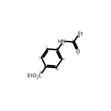 CCOC(=O)c1ccc(NC(=O)CC)cc1